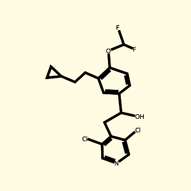 OC(Cc1c(Cl)cncc1Cl)c1ccc(OC(F)F)c(CCC2CC2)c1